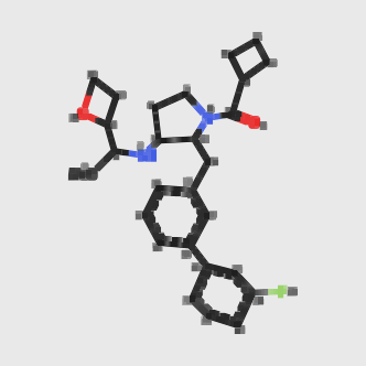 COC(NC1CCN(C(=O)C2CCC2)C1Cc1cccc(-c2cccc(F)c2)c1)C1CCO1